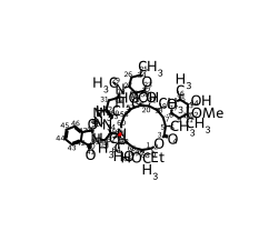 CC[C@H]1OC(=O)[C@H](C)[C@@H](C2C[C@@](C)(OC)[C@@H](O)[C@H](C)O2)[C@H](C)[C@@H](O[C@@H]2O[C@H](C)C[C@H](N(C)CCc3cn(C(CF)CN4C(=O)c5ccccc5C4=O)nn3)[C@H]2O)[C@](C)(O)C[C@@H](C)CN(C)[C@H](C)[C@@H](O)[C@]1(C)O